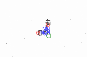 Cn1c(CO[Si](C)(C)C(C)(C)C)nc2c(N3CCOCC3)nc(Cl)nc21